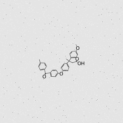 COc1ccc(C(C)(CC(=O)O)c2ccc(Oc3ccc(C(=O)c4ccc(C)cc4)cc3)cc2)cc1